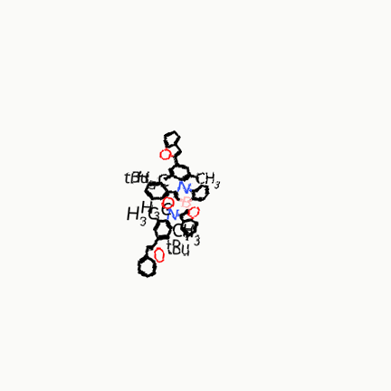 Cc1cc(-c2cc3ccccc3o2)cc(C)c1N(C)c1c(B2c3ccccc3N(c3c(C)cc(-c4cc5ccccc5o4)cc3C)c3c2oc2ccc(C(C)(C)C)cc32)oc2ccc(C(C)(C)C)cc12